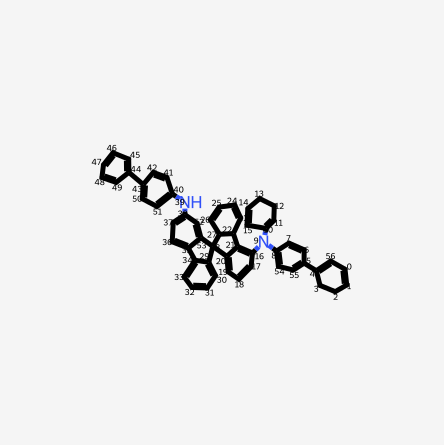 C1=CCCC(c2ccc(N(C3=CCCC=C3)c3cccc4c3C3C=CC=CC3C43c4ccccc4-c4ccc(Nc5ccc(-c6ccccc6)cc5)cc43)cc2)=C1